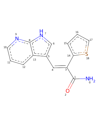 NC(=O)C(=Cc1c[nH]c2ncccc12)c1cccs1